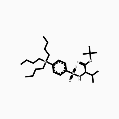 CCC[CH2][Sn]([CH2]CCC)([CH2]CCC)[c]1ccc(S(=O)(=O)NC(C(=O)OC(C)(C)C)C(C)C)cc1